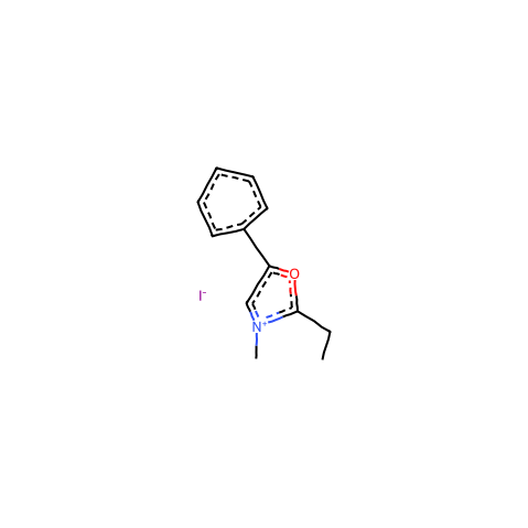 CCc1oc(-c2ccccc2)c[n+]1C.[I-]